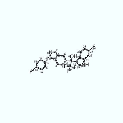 OC(c1ccc2c(cnn2-c2ccc(F)cc2)c1)(c1c[nH]c2cc(F)ccc12)C(F)(F)F